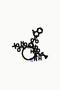 C[C@@H]1CN(C(=O)O[C@@H]2C[C@H]3C(=O)N[C@]4(C(=O)NSC5CC5)C[C@H]4/C=C\CCCCC[C@H](NC(=O)OC(C)(C)C)C(=O)N3C2)Cc2ccccc21